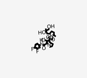 CC1CCC(CC(C)(O)CO)N1S(=O)(=O)c1c(Cl)c(C(=O)Nc2ccc(F)c(F)c2)n2c1CCC2